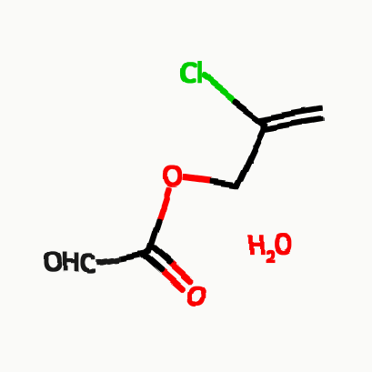 C=C(Cl)COC(=O)C=O.O